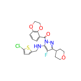 O=C(c1cccc2c1OCCO2)n1nc(C2CCOCC2)c(F)c1NCc1ccc(Cl)s1